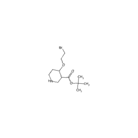 CC(C)(C)OC(=O)C1CNCCC1OCCBr